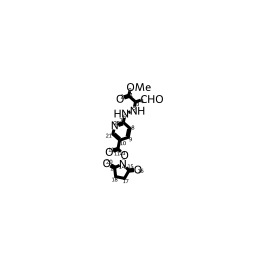 COC(=O)C(C=O)NNc1ccc(C(=O)ON2C(=O)CCC2=O)cn1